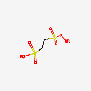 O=S(=O)(O)CCS(=O)(=O)OO